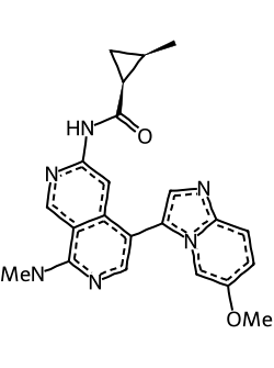 CNc1ncc(-c2cnc3ccc(OC)cn23)c2cc(NC(=O)[C@H]3C[C@H]3C)ncc12